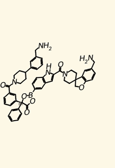 NCc1cccc(C2CCN(C(=O)c3cccc([C@@]4(c5ccccc5)OB(c5ccc6[nH]c(C(=O)N7CCC8(CC7)COc7ccc(CN)cc78)cc6c5)OC4=O)c3)CC2)c1